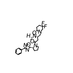 N[C@@H](CC(=O)N1CCC[C@H]1c1nc(-c2ccccc2)no1)CN1CC(F)(F)CCC1=O